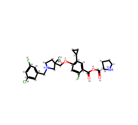 CC1(COc2cc(F)c(C(=O)OC(=O)[C@@H]3CCCN3)cc2C2CC2)CCN(Cc2cc(F)cc(Cl)c2)C1